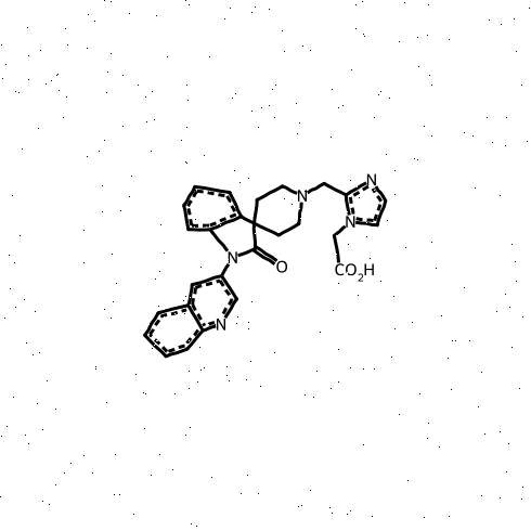 O=C(O)Cn1ccnc1CN1CCC2(CC1)C(=O)N(c1cnc3ccccc3c1)c1ccccc12